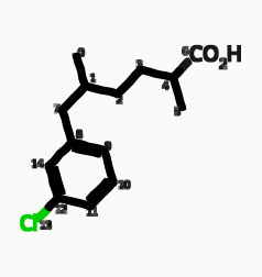 CC(CCC(C)C(=O)O)Cc1cccc(Cl)c1